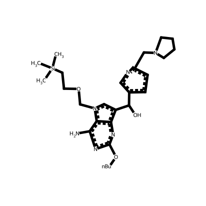 CCCCOc1nc(N)c2c(n1)c(C(O)c1ccc(CN3CCCC3)nc1)cn2COCC[Si](C)(C)C